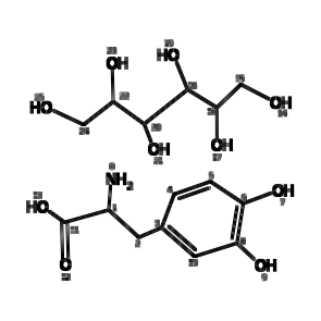 NC(Cc1ccc(O)c(O)c1)C(=O)O.OCC(O)C(O)C(O)C(O)CO